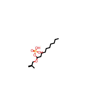 C=C(C)COC(CCCCCCCCC)OP(=O)(O)O